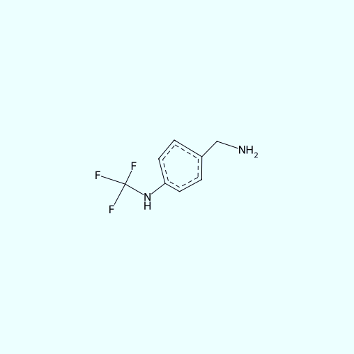 NCc1ccc(NC(F)(F)F)cc1